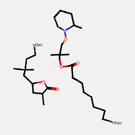 CCCCCCCCCCCCC(C)(C)CC1CC(C)C(=O)O1.CCCCCCCCCCCCCCCCCC(=O)OC(C)(C)CON1CCCCC1C